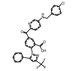 O=C(c1ccc(-n2nc(C(F)(F)F)cc2-c2ccccc2)c(C(=O)O)c1)c1ccc(NCc2ccc(Cl)cc2)cn1